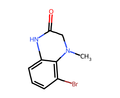 CN1CC(=O)Nc2cccc(Br)c21